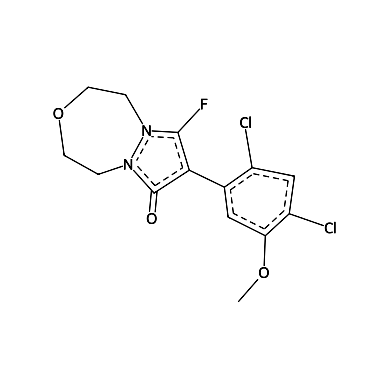 COc1cc(-c2c(F)n3n(c2=O)CCOCC3)c(Cl)cc1Cl